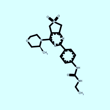 CCNC(=O)Nc1ccc(-c2nc3c(c(N4CCOC[C@@H]4C)n2)CS(=O)(=O)C3)cc1